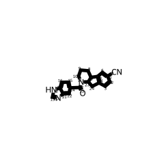 N#Cc1ccc2c(c1)C1CCCN(C(=O)c3ccc4[nH]cnc4c3)C1C2